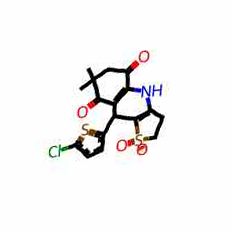 CC1(C)CC(=O)C2=C(C1=O)C(c1ccc(Cl)s1)C1=C(CCS1(=O)=O)N2